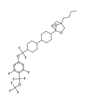 CCCCC12COC(C3CCC(C4CCC(C(F)(F)Oc5cc(F)c(C(F)(F)OC(F)(F)F)c(F)c5)CC4)CC3)(OC1)O2